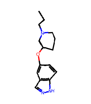 CCCN1CCCC(Oc2ccc3[nH]ncc3c2)C1